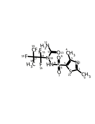 Cc1nc(C)c(S(=O)(=O)NN(C(N)=O)C(F)(F)C(C)(F)C(F)(F)F)s1